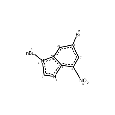 CCCCn1cnc2c([N+](=O)[O-])cc(Br)cc21